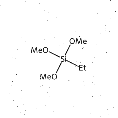 [CH2]C[Si](OC)(OC)OC